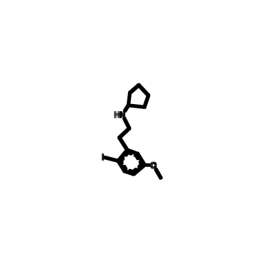 COc1ccc(I)c(CCNC2CCCC2)c1